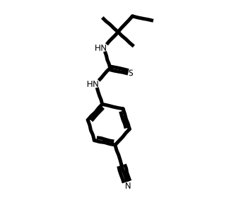 CCC(C)(C)NC(=S)Nc1ccc(C#N)cc1